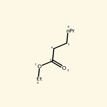 [CH2]COC(=O)CCCCC